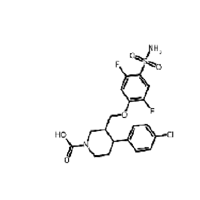 NS(=O)(=O)c1cc(F)c(OCC2CN(C(=O)O)CCC2c2ccc(Cl)cc2)cc1F